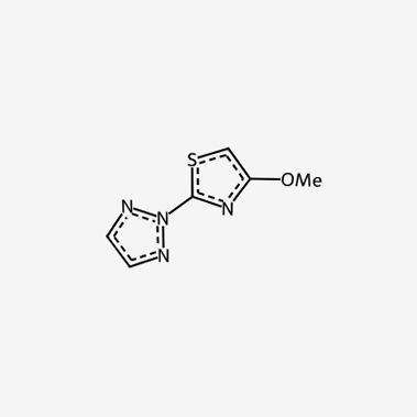 COc1csc(-n2nccn2)n1